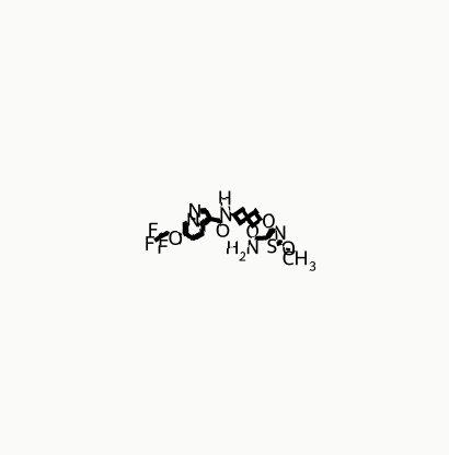 COc1nc(O[C@H]2CC3(C[C@H](NC(=O)c4cnn5cc(OCC(F)(F)F)ccc45)C3)C2)c(C(N)=O)s1